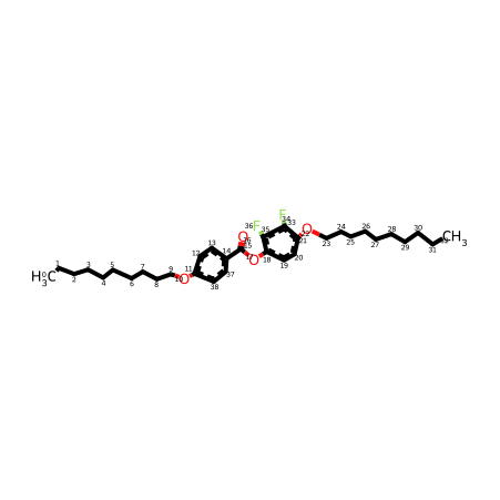 CCCCCCCCCCOc1ccc(C(=O)Oc2ccc(OCCCCCCCCCC)c(F)c2F)cc1